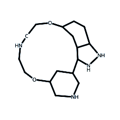 C1COC2CNCC(C2)C2NNC3CCC(CC32)OCCN1